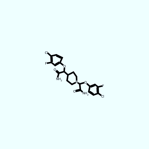 NC(=O)C(Oc1ccc(Cl)c(F)c1)C1CCN(C(Oc2ccc(Cl)c(F)c2)C(N)=O)CC1